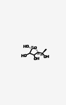 C[C@@H](O)[C@H]1O[C@@H](O)C(O)C1O